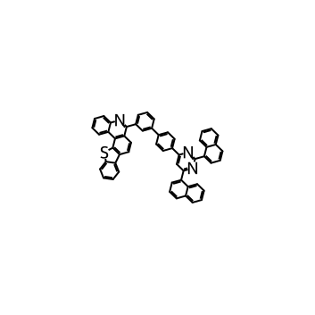 c1cc(-c2ccc(-c3cc(-c4cccc5ccccc45)nc(-c4cccc5ccccc45)n3)cc2)cc(-c2nc3ccccc3c3c2ccc2c4ccccc4sc23)c1